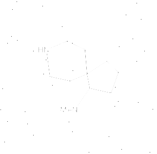 CNC1CCCC12CCNCC2